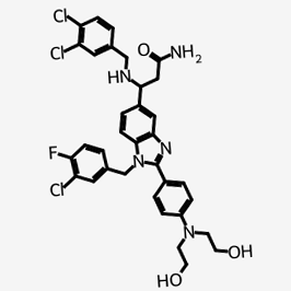 NC(=O)CC(NCc1ccc(Cl)c(Cl)c1)c1ccc2c(c1)nc(-c1ccc(N(CCO)CCO)cc1)n2Cc1ccc(F)c(Cl)c1